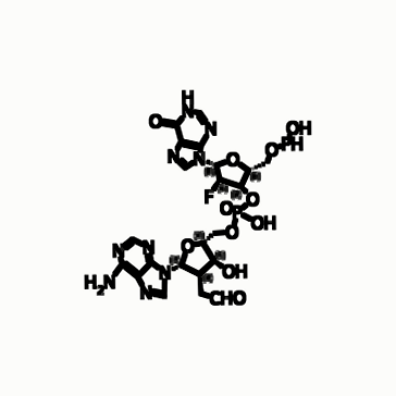 Nc1ncnc2c1ncn2[C@@H]1O[C@H](COP(=O)(O)O[C@H]2[C@@H](F)[C@H](n3cnc4c(=O)[nH]cnc43)O[C@@H]2COPO)[C@@H](O)[C@H]1CC=O